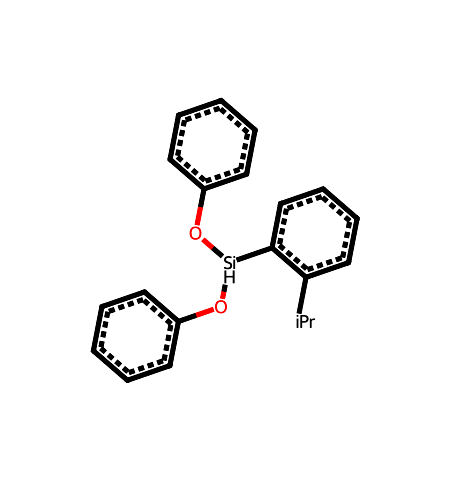 CC(C)c1ccccc1[SiH](Oc1ccccc1)Oc1ccccc1